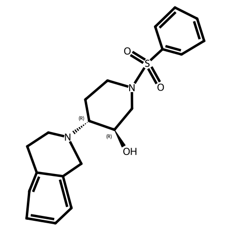 O=S(=O)(c1ccccc1)N1CC[C@@H](N2CCc3ccccc3C2)[C@H](O)C1